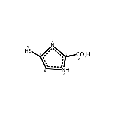 O=C(O)c1nc(S)c[nH]1